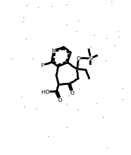 CCC1(O[Si](C)(C)C)CC(=O)C(C(=O)O)Cc2c1ccnc2F